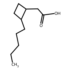 CCCCCC1CCC1CC(=O)O